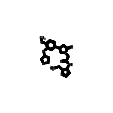 CCn1nccc1NC(=O)CN1CC(c2ccc(OC)c(OC3CCOC3)c2)CC1=O